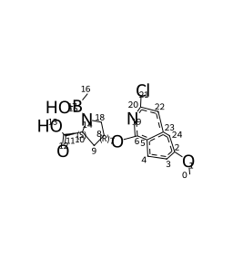 COc1ccc2c(O[C@@H]3C[C@@H](C(=O)O)N(B(C)O)C3)nc(Cl)cc2c1